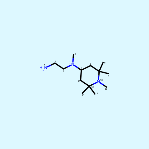 CN(CCN)C1CC(C)(C)N(C)C(C)(C)C1